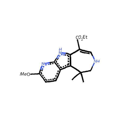 CCOC(=O)C1=CNCC(C)(C)c2c1[nH]c1nc(OC)ccc21